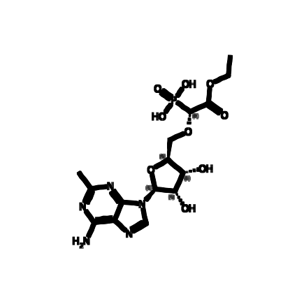 CCOC(=O)[C@H](OC[C@@H]1O[C@H](n2cnc3c(N)nc(C)nc32)[C@@H](O)[C@H]1O)P(=O)(O)O